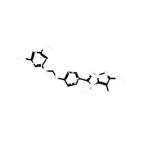 Cc1cc(C)cc(OCNc2ccc(-c3nn4nc(C)c(Cl)c4n3C)cc2)c1